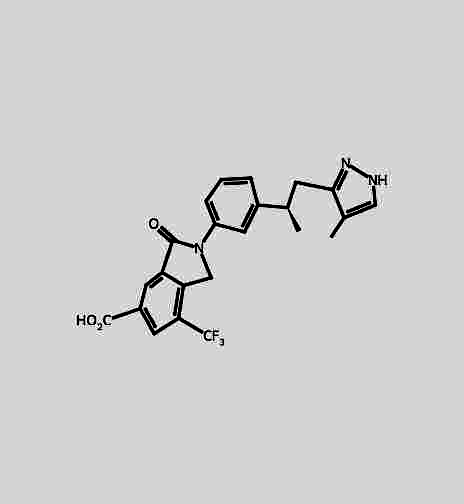 Cc1c[nH]nc1C[C@@H](C)c1cccc(N2Cc3c(cc(C(=O)O)cc3C(F)(F)F)C2=O)c1